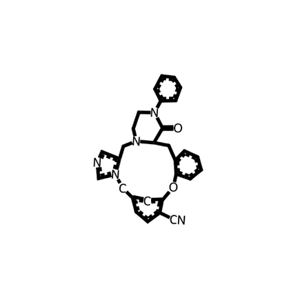 N#Cc1ccc2cc1Oc1ccccc1CC1C(=O)N(c3ccccc3)CCN1Cc1cncn1C2